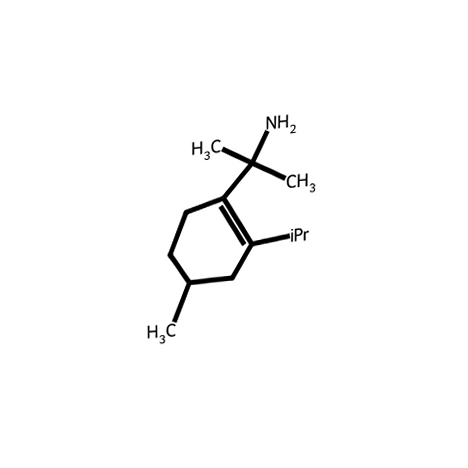 CC1CCC(C(C)(C)N)=C(C(C)C)C1